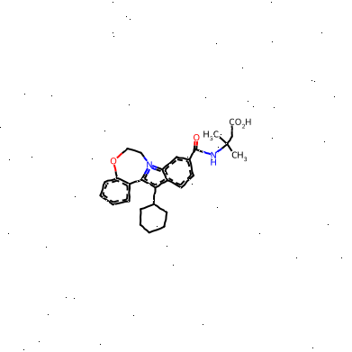 CC(C)(CC(=O)O)NC(=O)c1ccc2c(C3CCCCC3)c3n(c2c1)CCOc1ccccc1-3